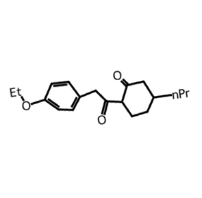 CCCC1CCC(C(=O)Cc2ccc(OCC)cc2)C(=O)C1